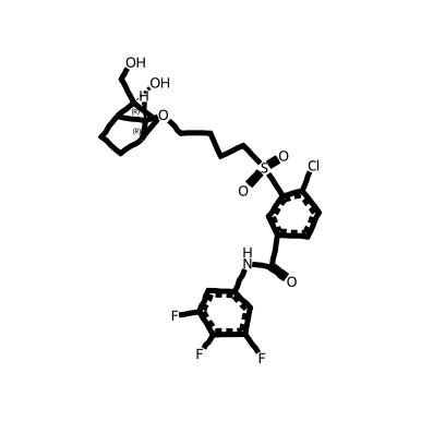 O=C(Nc1cc(F)c(F)c(F)c1)c1ccc(Cl)c(S(=O)(=O)CCCCO[C@@H]2C3CCC2[C@@](O)(CO)C3)c1